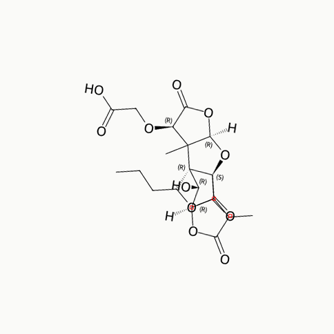 CCCC1OC(=O)[C@@]23O[C@@H]4OC(=O)[C@H](OCC(=O)O)C4(C)[C@@]12[C@@H](O)[C@@H]1OC(=O)C(C)C13